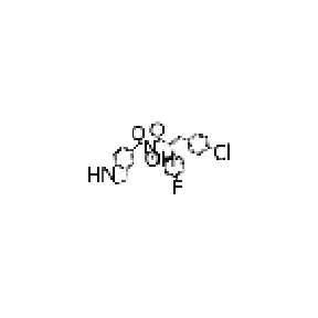 O=C(C(=Cc1ccc(Cl)cc1)c1ccc(F)cc1)N(O)C(=O)c1ccc2c(c1)CCN2